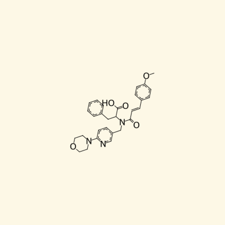 COc1ccc(C=CC(=O)N(Cc2ccc(N3CCOCC3)nc2)C(Cc2ccccc2)C(=O)O)cc1